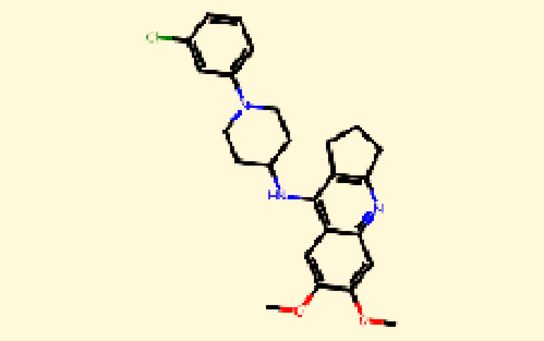 COc1cc2nc3c(c(NC4CCN(c5cccc(Cl)c5)CC4)c2cc1OC)CCC3